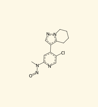 CN(N=O)c1cc(-c2cnn3c2CCCC3)c(Cl)cn1